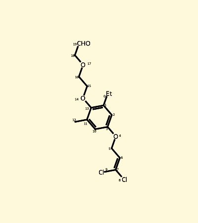 CCc1cc(OCC=C(Cl)Cl)cc(C)c1OCCOCC=O